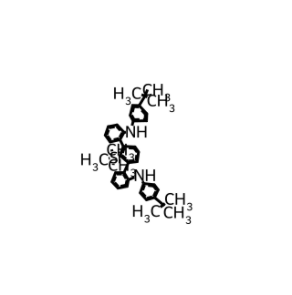 CC(C)(C)c1ccc(Nc2ccccc2-c2cccc(-c3ccccc3Nc3ccc(C(C)(C)C)cc3)c2[Si](C)(C)C)cc1